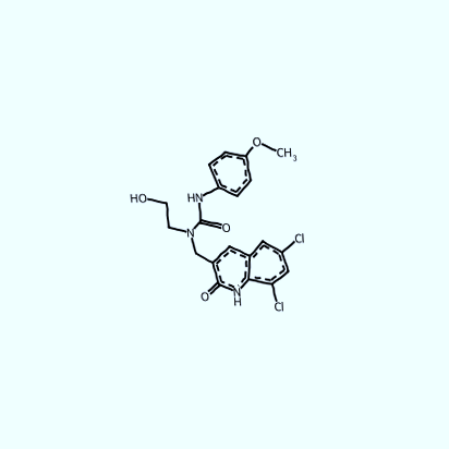 COc1ccc(NC(=O)N(CCO)Cc2cc3cc(Cl)cc(Cl)c3[nH]c2=O)cc1